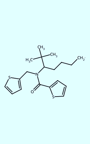 [CH2]CCCC(N(Cc1cccs1)C(=O)c1cccs1)C(C)(C)C